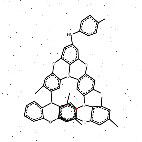 Cc1ccc(Nc2cc3c4c(c2)Oc2cc(C)c(B5c6ccccc6Oc6cc(C)cc(C)c65)cc2B4c2cc(B4c5ccccc5Oc5cc(C)cc(C)c54)c(C)cc2O3)cc1